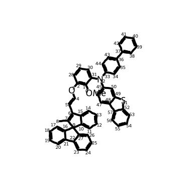 COc1c(O/C=C/C2=C(C)C3(c4ccccc42)c2ccccc2-c2ccccc23)cccc1N(c1ccc(-c2ccccc2)cc1)c1ccc2c(c1)sc1ccccc12